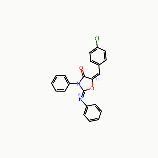 O=C1/C(=C\c2ccc(Cl)cc2)O/C(=N\c2ccccc2)N1c1ccccc1